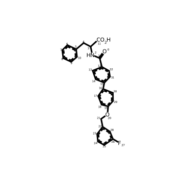 O=C(NC(Cc1ccccc1)C(=O)O)c1ccc(-c2ccc(OCc3cccc(F)c3)cc2)cc1